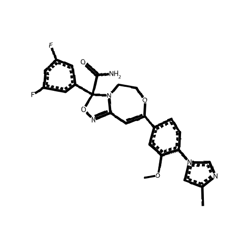 COc1cc(C2=CC3=NOC(C(N)=O)(c4cc(F)cc(F)c4)N3CCO2)ccc1-n1cnc(C)c1